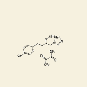 CCCCCCSC(CCc1ccc(Cl)cc1)Cn1ccnc1.O=C(O)C(=O)O